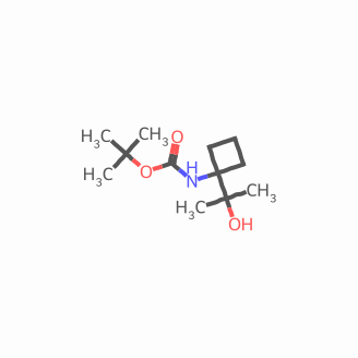 CC(C)(C)OC(=O)NC1(C(C)(C)O)CCC1